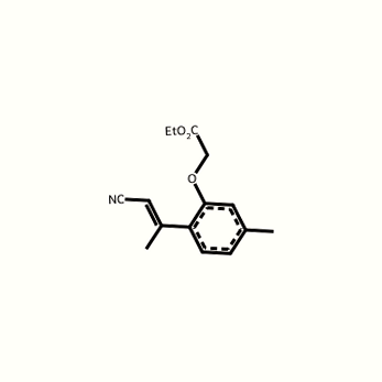 CCOC(=O)COc1cc(C)ccc1C(C)=CC#N